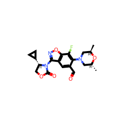 C[C@@H]1CN(c2c(C=O)cc3c(N4C(=O)OC[C@@H]4C4CC4)noc3c2F)C[C@@H](C)O1